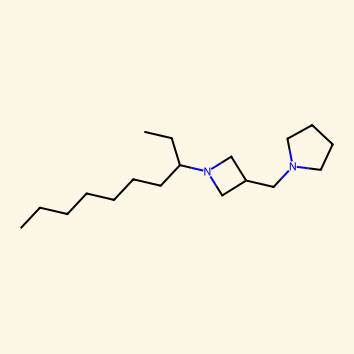 CCCCCCCC(CC)N1CC(CN2CCCC2)C1